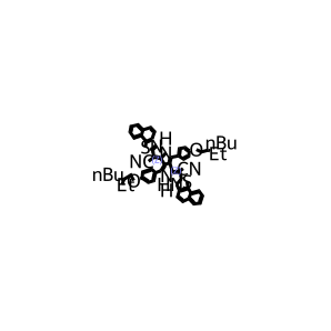 CCCCC(CC)COc1ccc(-c2[nH]/c(=C(/C#N)C3Nc4ccc5ccccc5c4S3)c3c(-c4ccc(OCC(CC)CCCC)cc4)[nH]/c(=C(/C#N)c4nc5ccc6ccccc6c5s4)c23)cc1